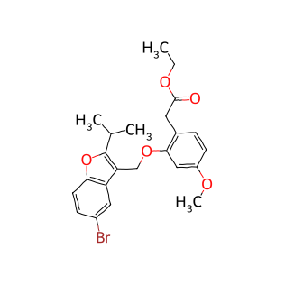 CCOC(=O)Cc1ccc(OC)cc1OCc1c(C(C)C)oc2ccc(Br)cc12